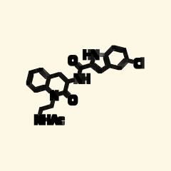 CC(=O)NCCN1C(=O)C(NC(=O)c2cc3cc(Cl)ccc3[nH]2)Cc2ccccc21